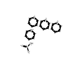 O=[N+]([O-])O.c1ccncc1.c1ccncc1.c1ccncc1.c1ccncc1